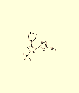 Nc1nnc(-c2nc(C(F)(F)F)sc2N2CCOCC2)o1